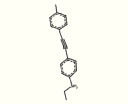 CC[SiH2]c1ccc(C#Cc2ccc(C)cc2)cc1